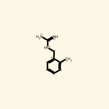 [CH2]c1ccccc1CNC(=N)N